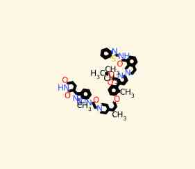 Cc1c(OCCC(C)C2CCN(CC(=O)Nc3cccc4c(C5CCC(=O)NC5=O)nn(C)c34)CC2)cccc1-c1ccc(N2CCc3cccc(C(=O)Nc4nc5ccccc5s4)c3C2)nc1C(=O)OC(C)(C)C